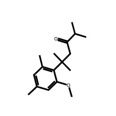 COc1cc(C)cc(C)c1C(C)(C)CC(=O)C(C)C